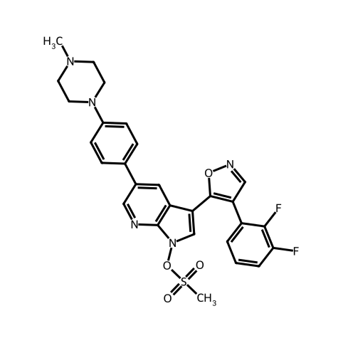 CN1CCN(c2ccc(-c3cnc4c(c3)c(-c3oncc3-c3cccc(F)c3F)cn4OS(C)(=O)=O)cc2)CC1